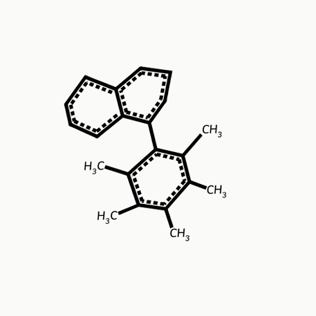 Cc1c(C)c(C)c(-c2cccc3ccccc23)c(C)c1C